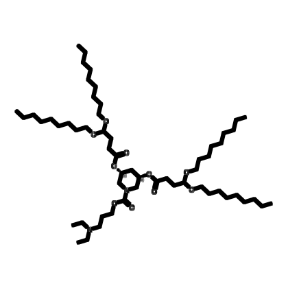 CCCCCCCCCOC(CCC(=O)O[C@@H]1C[C@@H](OC(=O)CCC(OCCCCCCCCC)OCCCCCCCCC)CN(C(=O)OCCCN(CC)CC)C1)OCCCCCCCCC